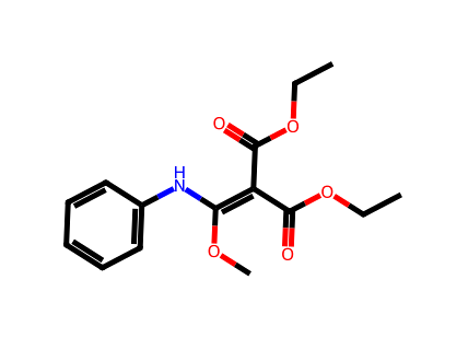 CCOC(=O)C(C(=O)OCC)=C(Nc1ccccc1)OC